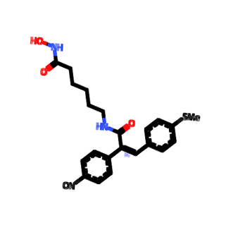 CSc1ccc(/C=C(\C(=O)NCCCCCC(=O)NO)c2ccc(N=O)cc2)cc1